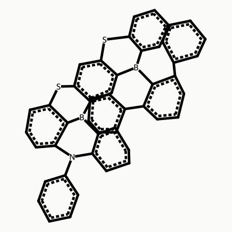 c1ccc(-c2cccc(-c3ccccc3)c2B2c3ccccc3Sc3cc4c(cc32)B2c3ccccc3N(c3ccccc3)c3cccc(c32)S4)cc1